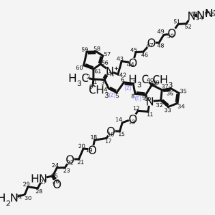 CC1(C)C(\C=C/C=C\C=C2\N(CCOCCOCCOCCOCCC(=O)NCCCN)c3ccccc3C2(C)C)=[N+](CCOCCOCCOCCN=[N+]=[N-])c2ccccc21